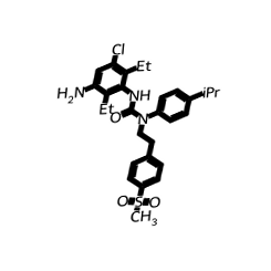 CCc1c(N)cc(Cl)c(CC)c1NC(=O)N(CCc1ccc(S(C)(=O)=O)cc1)c1ccc(C(C)C)cc1